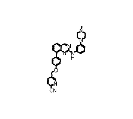 CN1CCN(c2cccc(Nc3ncc4cccc(-c5ccc(OCc6ccc(C#N)nc6)cc5)c4n3)c2)CC1